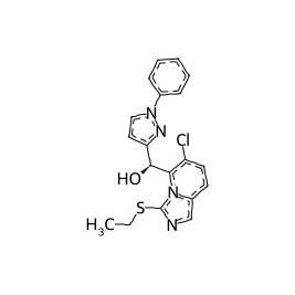 CCSc1ncc2ccc(Cl)c([C@@H](O)c3ccn(-c4ccccc4)n3)n12